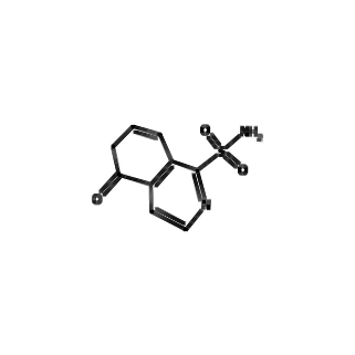 NS(=O)(=O)c1nccc2c1C=CCC2=O